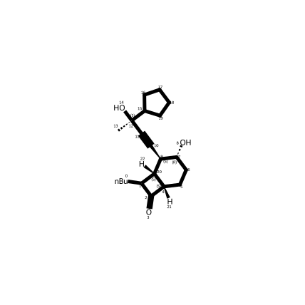 CCCCC1C(=O)[C@H]2CC[C@@H](O)[C@H](C#C[C@@](C)(O)C3CCCC3)[C@@H]12